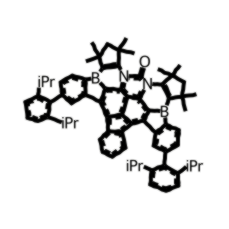 CC(C)c1cccc(C(C)C)c1-c1ccc2c(c1)-c1c3c4c5c6c1c1ccccc1c6c1c6c5n(c(=O)n4C4=C(B23)C(C)(C)CC4(C)C)C2=C(B6c3ccc(-c4c(C(C)C)cccc4C(C)C)cc3-1)C(C)(C)CC2(C)C